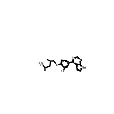 CC(N)CC(C)COc1ccc(-c2ncnc3[nH]ccc23)cc1Cl